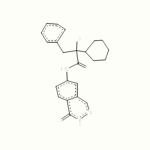 O=C(Nc1ccc2c(=O)[nH]ncc2c1)C(O)(Cc1ccccc1)C1CCCCC1